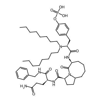 CCCCCCCCN(CCCCCCCC)[C@@H](Cc1ccc(OP(=O)(O)O)cc1)C(=O)N[C@H]1CCCCC2CC[C@@H](C(=O)N[C@@H](CCC(N)=O)C(=O)NCc3ccccc3)N2C1=O